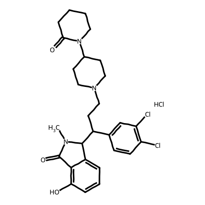 CN1C(=O)c2c(O)cccc2C1C(CCN1CCC(N2CCCCC2=O)CC1)c1ccc(Cl)c(Cl)c1.Cl